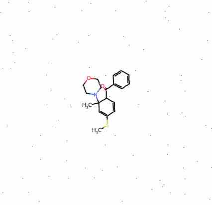 CSC1=CC(C)(N2CCOCC2)C(C(=O)c2ccccc2)C=C1